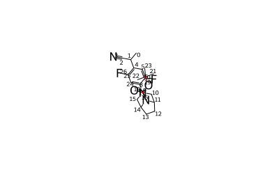 CC(C#N)c1cc(F)c(N2CC3CCC(C2)N3C(=O)OC(C)(C)C)cc1F